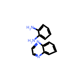 Nc1ccccc1N.c1ccc2nccnc2c1